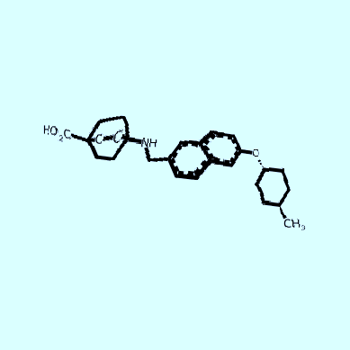 C[C@H]1CC[C@H](Oc2ccc3cc(CNC45CCC(C(=O)O)(CC4)CC5)ccc3c2)CC1